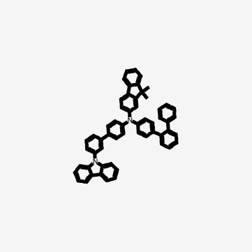 CC1(C)c2ccccc2-c2ccc(N(c3ccc(-c4cccc(-n5c6ccccc6c6ccccc65)c4)cc3)c3ccc(-c4ccccc4-c4ccccc4)cc3)cc21